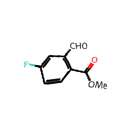 COC(=O)c1ccc(F)cc1C=O